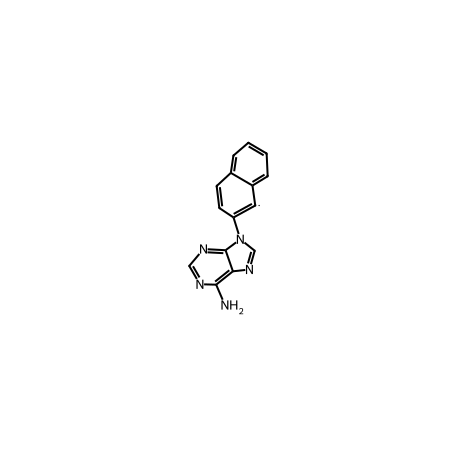 Nc1ncnc2c1ncn2-c1[c]c2ccccc2cc1